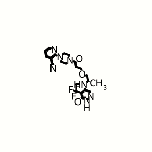 C[C@@H](COCCC(=O)N1CCN(c2ncccc2C#N)CC1)Nc1cn[nH]c(=O)c1C(F)(F)F